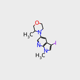 CC1COCCN1c1cnc2c(c1)c(I)cn2C